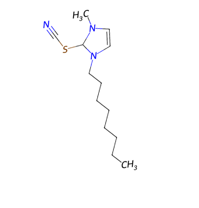 CCCCCCCCN1C=CN(C)C1SC#N